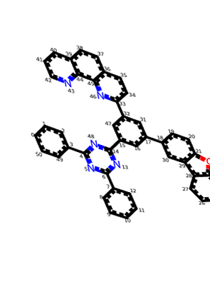 c1ccc(-c2nc(-c3ccccc3)nc(-c3cc(-c4ccc5oc6ccccc6c5c4)cc(-c4ccc5ccc6cccnc6c5n4)c3)n2)cc1